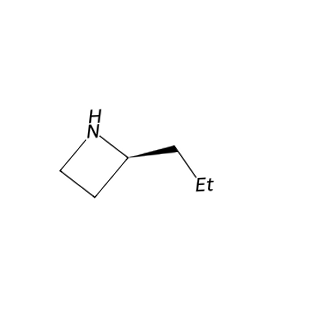 CCC[C@H]1CCN1